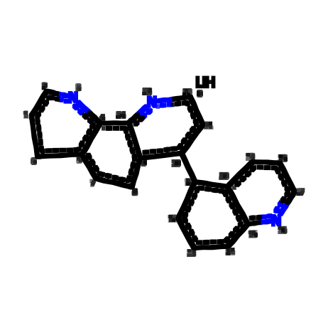 [LiH].c1cnc2c(c1)ccc1c(-c3cccc4ncccc34)ccnc12